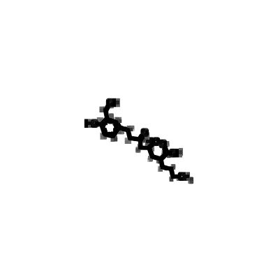 CCCCC(CC(O)CC(=O)CCc1ccc(O)c(CO)c1)C(=O)O